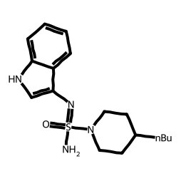 CCCCC1CCN(S(N)(=O)=Nc2c[nH]c3ccccc23)CC1